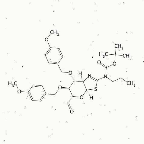 CCCN(C(=O)OC(C)(C)C)C1=N[C@@H]2[C@@H](OCc3ccc(OC)cc3)[C@H](OCc3ccc(OC)cc3)[C@@H](C=O)O[C@@H]2S1